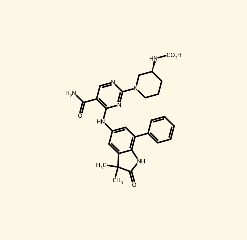 CC1(C)C(=O)Nc2c(-c3ccccc3)cc(Nc3nc(N4CCC[C@H](NC(=O)O)C4)ncc3C(N)=O)cc21